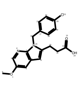 COc1cnc2c(c1)cc(CCC(=O)O)n2Cc1ccc(Cl)cc1